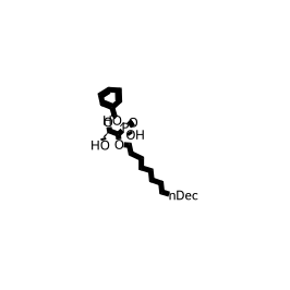 CCCCCCCCCCCCCCCCCCOC([C@H](CO)OCc1ccccc1)P(=O)(O)O